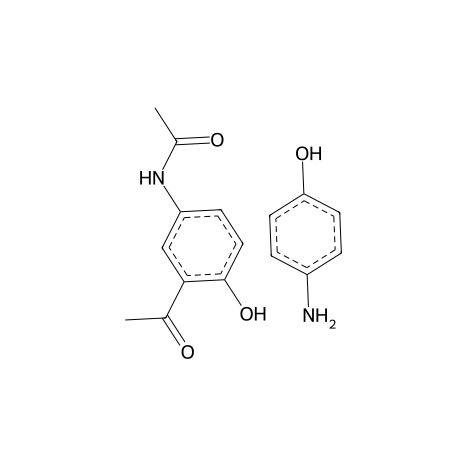 CC(=O)Nc1ccc(O)c(C(C)=O)c1.Nc1ccc(O)cc1